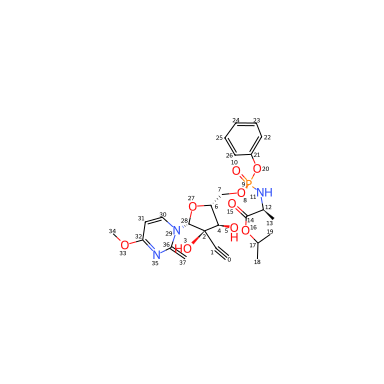 C#C[C@@]1(O)[C@H](O)[C@@H](COP(=O)(N[C@@H](C)C(=O)OC(C)C)Oc2ccccc2)O[C@H]1N1C=CC(OC)=NC1=C